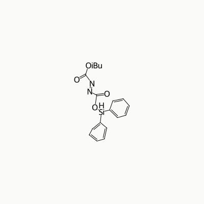 CC(C)COC(=O)N=NC(=O)O[SiH](c1ccccc1)c1ccccc1